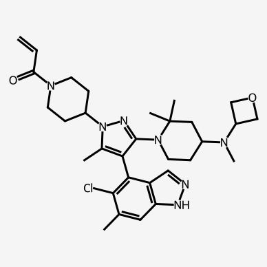 C=CC(=O)N1CCC(n2nc(N3CCC(N(C)C4COC4)CC3(C)C)c(-c3c(Cl)c(C)cc4[nH]ncc34)c2C)CC1